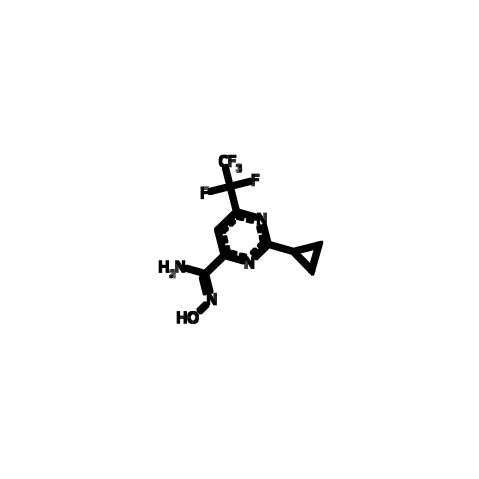 NC(=NO)c1cc(C(F)(F)C(F)(F)F)nc(C2CC2)n1